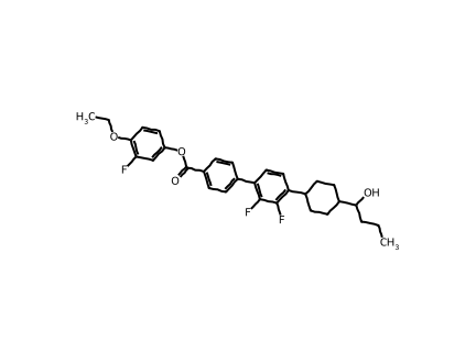 CCCC(O)C1CCC(c2ccc(-c3ccc(C(=O)Oc4ccc(OCC)c(F)c4)cc3)c(F)c2F)CC1